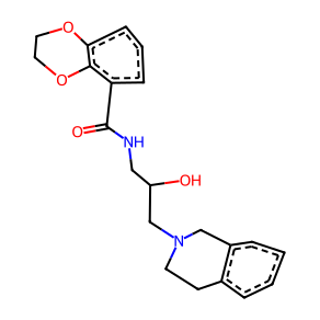 O=C(NCC(O)CN1CCc2ccccc2C1)c1cccc2c1OCCO2